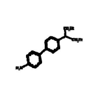 CCOC(=O)C(C(=O)OCC)c1ccc(-c2ccc(N)cc2)cc1